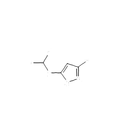 [2H]c1cc(OC(F)F)[nH]n1